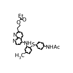 CCC(=O)OCCc1ccc2c(Nc3cc(C)ccc3Sc3ccc(NC(C)=O)cc3)ccnc2n1